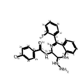 NNC1Nc2ccccc2C(c2ccccc2F)=NC1NC(=O)c1ccc(Cl)cc1